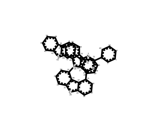 c1ccc(-c2nc(-c3ccccc3)nc(-c3cccc4oc5cccc(-n6c7ccccc7c7ccc8c9ccccc9sc8c76)c5c34)n2)cc1